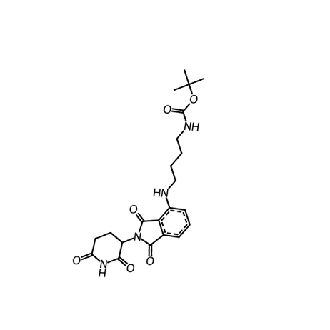 CC(C)(C)OC(=O)NCCCCNc1cccc2c1C(=O)N(C1CCC(=O)NC1=O)C2=O